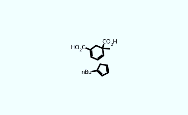 CC1(C(=O)O)C=CC=C(C(=O)O)C1.CCCCC1=CC=CC1